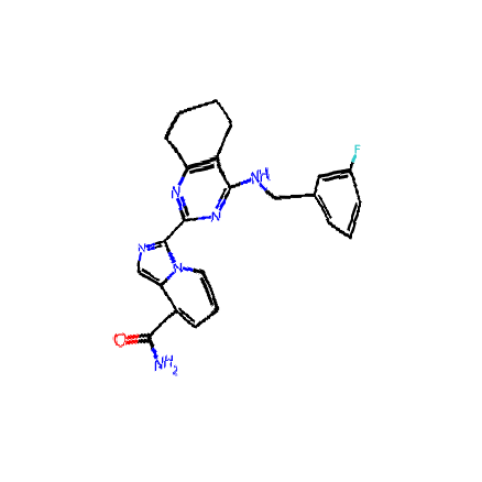 NC(=O)c1cccn2c(-c3nc4c(c(NCc5cccc(F)c5)n3)CCCC4)ncc12